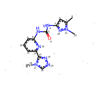 Cc1cc(NC(=O)Nc2cccc(-c3nncn3C(C)C)n2)nn1C